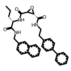 CCC[C@H](NC(=O)C1O[C@@H]1C(=O)NCCc1ccc(-c2ccccc2)cc1)C(=O)NCc1ccc2ccccc2c1